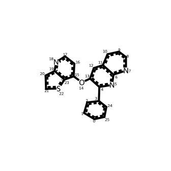 c1ccc(-c2nc3ncccc3cc2Oc2ccnc3ccsc23)cc1